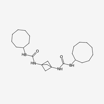 O=C(BC1CCCCCCCC1)NC12CC(NC(=O)BC3CCCCCCC3)(C1)C2